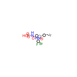 CC(C)(C)/C=C/c1ccc(C(Cc2ccc(C(=O)NCCS(=O)(=O)O)cc2)C(=O)Nc2ccc(F)c(Br)c2)cc1